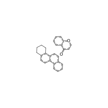 O=c1ccoc2ccccc12.c1ccc2c(c1)ccc1c3c(ccc12)CCCC3